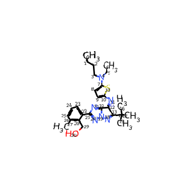 CCCCN(CC)c1ccc(/N=C2/C(C(C)(C)C)=Nn3nc(-c4cccc(C)c4CO)nc32)s1